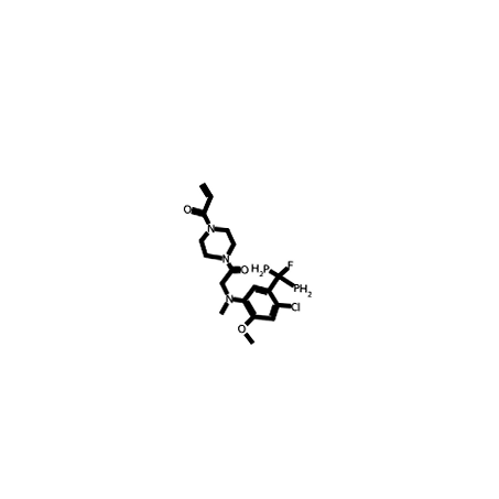 C=CC(=O)N1CCN(C(=O)CN(C)c2cc(C(F)(P)P)c(Cl)cc2OC)CC1